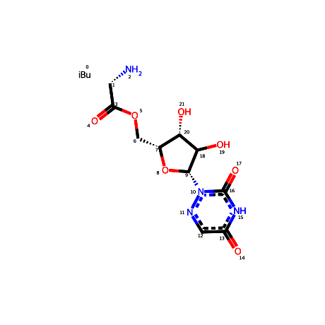 CC[C@H](C)[C@H](N)C(=O)OC[C@H]1O[C@@H](n2ncc(=O)[nH]c2=O)C(O)[C@H]1O